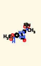 CN(C(=O)OC(C)(C)C)C1CN(C2=Nc3ccc(NS(C)(=O)=O)cc3N3CC(=O)N=C23)C1